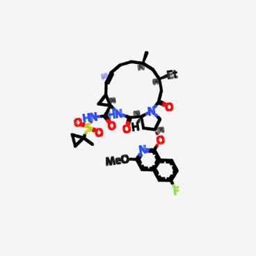 CC[C@H]1CC(=O)N2C[C@H](Oc3nc(OC)cc4cc(F)ccc34)C[C@H]2C(=O)N[C@]2(C(=O)NS(=O)(=O)C3(C)CC3)CC2/C=C\CC[C@@H](C)C1